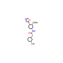 COc1cc(NC(=O)Cc2cccc(C#N)c2)ccc1-c1cnco1